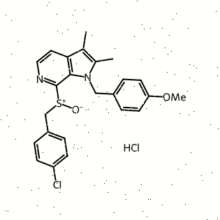 COc1ccc(Cn2c(C)c(C)c3ccnc([S+]([O-])Cc4ccc(Cl)cc4)c32)cc1.Cl